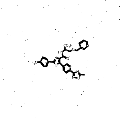 Cc1nc(-c2ccc(-c3oc(-c4ccc(C(F)(F)F)cc4)nc3C(=O)NC(COCc3ccccc3)C(=O)O)cc2)no1